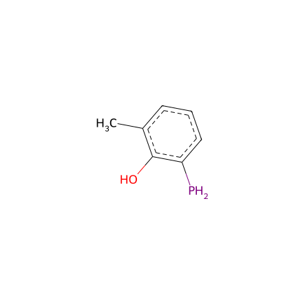 Cc1cccc(P)c1O